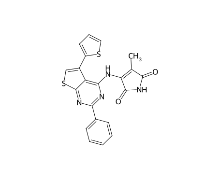 CC1=C(Nc2nc(-c3ccccc3)nc3scc(-c4cccs4)c23)C(=O)NC1=O